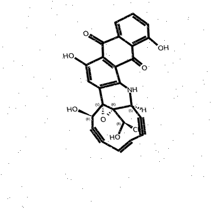 C[C@@H](O)[C@@]12O[C@]13c1cc(O)c4c(c1N[C@H]2C#CC=CC#C[C@H]3O)C(=O)c1c(O)cccc1C4=O